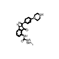 NNC(=O)Nc1cccc2c1C(=O)C1=C(c3ccc(N4CCNCC4)cc3)N=NC12